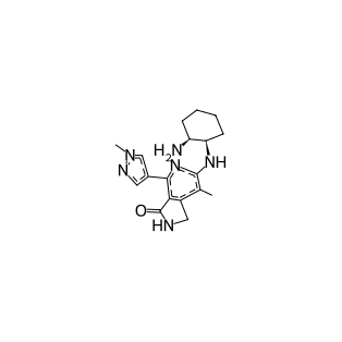 Cc1c(N[C@@H]2CCCC[C@@H]2N)nc(-c2cnn(C)c2)c2c1CNC2=O